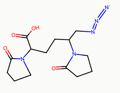 [N-]=[N+]=NCC(CCC(C(=O)O)N1CCCC1=O)N1CCCC1=O